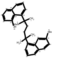 CNC(C)(CCC(C)(C)c1cccc2ccc(C(C)(C)C)cc12)c1cccc2cccc(C(C)C)c12